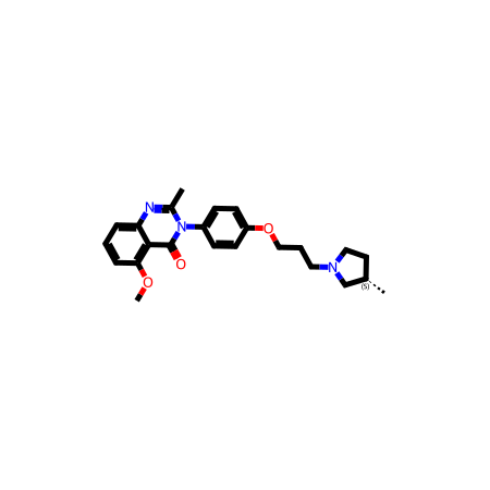 COc1cccc2nc(C)n(-c3ccc(OCCCN4CC[C@H](C)C4)cc3)c(=O)c12